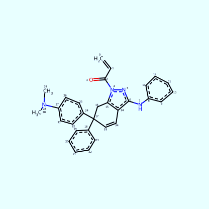 C=CC(=O)n1nc(Nc2ccccc2)c2c1CC(c1ccccc1)(c1ccc(N(C)C)cc1)C=C2